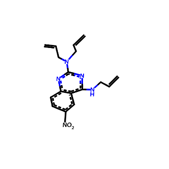 C=CCNc1nc(N(CC=C)CC=C)nc2ccc([N+](=O)[O-])cc12